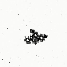 FC(F)(CNc1ccccc1)Cn1c2ccc(Br)cc2c2cc(Br)ccc21